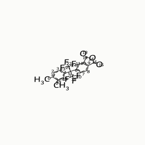 Cc1ccc(C(c2ccc3c(c2)C(=O)OC3=O)(C(F)(F)F)C(F)(F)F)cc1C